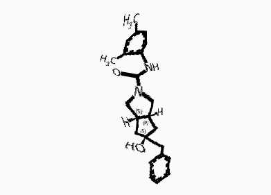 Cc1ccc(NC(=O)N2C[C@@H]3C[C@](O)(Cc4ccccc4)C[C@@H]3C2)c(C)c1